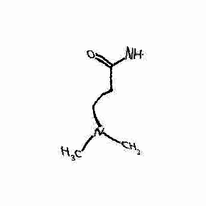 CN(C)CCC([NH])=O